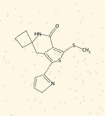 CSc1sc(C2=NCC=C2)c2c1C(=O)NC1(CCC1)C2